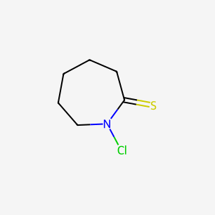 S=C1CCCCCN1Cl